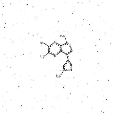 CCc1nc2c(N)ncc(-c3cnn(C)c3)c2nc1N